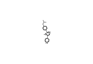 CC(C)Cc1ccc(-c2ncc(-c3ccncc3)n2C)cc1